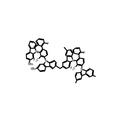 Cc1ccc2c(c1)c1cc(C)ccc1n2-c1ccc(-c2c(F)cccc2F)c(-n2c3ccc(C)cc3c3cc(Cc4ccc5c(c4)c4ccc(C(C)(C)C)cc4n5-c4ccc(-c5c(F)cccc5F)c(-n5c6ccccc6c6ccc(C(C)(C)C)cc65)c4C(F)(F)F)ccc32)c1C(F)(F)F